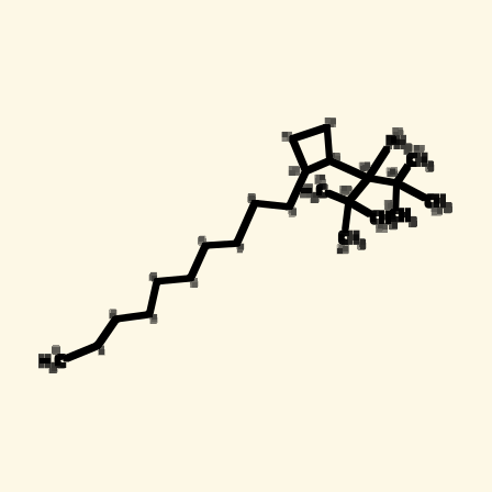 CCCCCCCCCCC1CCC1C(P)(C(C)(C)C)C(C)(C)C